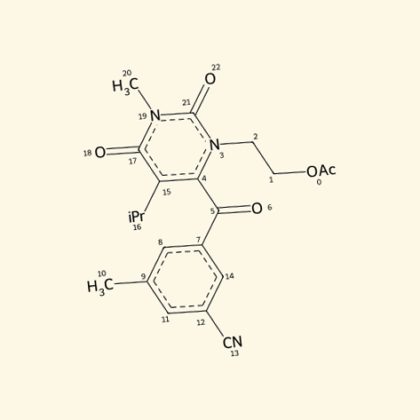 CC(=O)OCCn1c(C(=O)c2cc(C)cc(C#N)c2)c(C(C)C)c(=O)n(C)c1=O